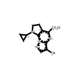 CCOC(=O)c1nc2c(C#N)cnn2c2c1CCN2C1CC1